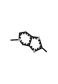 [CH2][n+]1ccc2sc(C)nc2c1